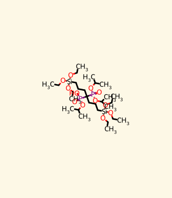 CCO[Si](CCCC(CCC[Si](OCC)(OCC)OCC)(P(=O)(O)OC(C)C)P(=O)(OC(C)C)OC(C)C)(OCC)OCC